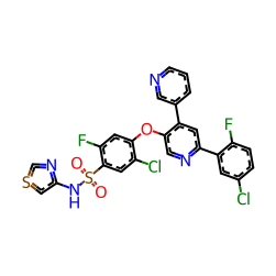 O=S(=O)(Nc1cscn1)c1cc(Cl)c(Oc2cnc(-c3cc(Cl)ccc3F)cc2-c2cccnc2)cc1F